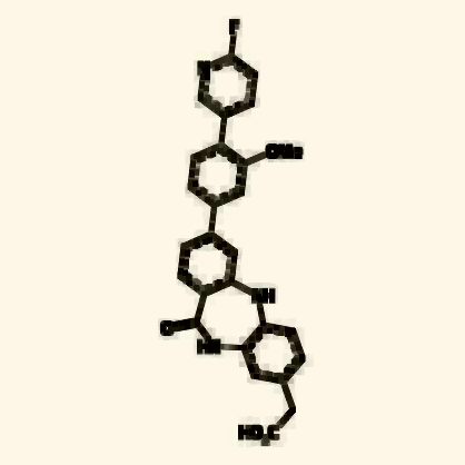 COc1cc(-c2ccc3c(c2)Nc2ccc(CC(=O)O)cc2NC3=O)ccc1-c1ccc(F)nc1